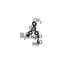 Cc1ccc(N2CC(c3ccc(C(=O)NCCC(=O)O)cc3)N(C3CCC(C(C)(C)C)CC3)C2=O)cc1